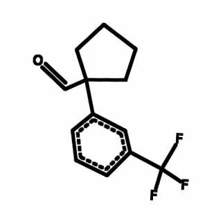 O=CC1(c2cccc(C(F)(F)F)c2)CCCC1